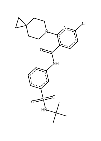 CC(C)(C)NS(=O)(=O)c1cccc(NC(=O)c2ccc(Cl)nc2N2CCC3(CC2)CC3)c1